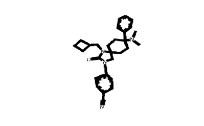 CN(C)C1(c2ccccc2)CCC2(CC1)CN(c1ccc(C#N)cc1)C(=O)N2CC1CCC1